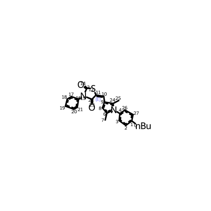 CCCCc1ccc(-n2c(C)cc(/C=C3/SC(=O)N(c4ccccc4)C3=O)c2C)cc1